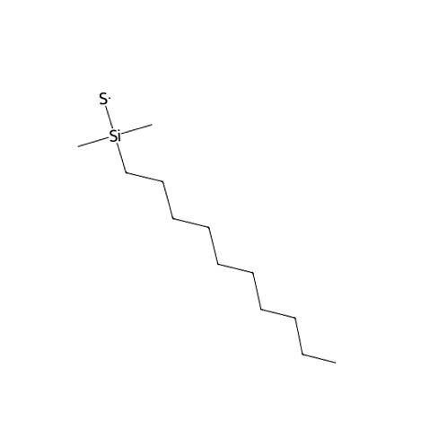 CCCCCCCCCC[Si](C)(C)[S]